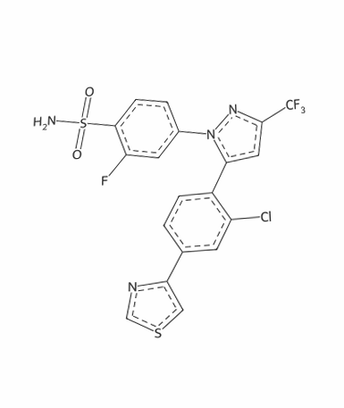 NS(=O)(=O)c1ccc(-n2nc(C(F)(F)F)cc2-c2ccc(-c3cscn3)cc2Cl)cc1F